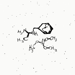 CC(N)NCC1Cc2ccc1cc2.CO[SiH](OC)OC